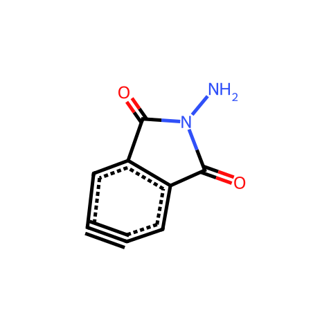 NN1C(=O)c2cc#ccc2C1=O